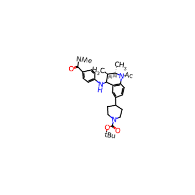 CNC(=O)c1ccc(NC2c3cc(C4CCN(C(=O)OC(C)(C)C)CC4)ccc3N(C(C)=O)[C@@H](C)[C@@H]2C)cc1